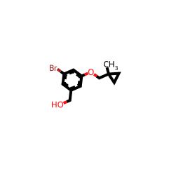 CC1(COc2cc(Br)cc(CO)c2)CC1